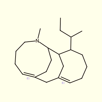 CCC(C)C1CCC/C=C2/C/C3=C/CCCN(C)C(CC3)C1C2